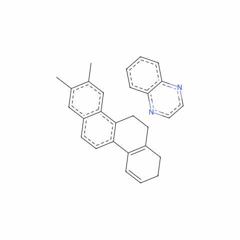 Cc1cc2ccc3c(c2cc1C)CCC1=C3C=CCC1.c1ccc2nccnc2c1